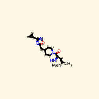 CN/C(C)=C\C(=N)C(=O)N1CCC(Cc2nc(C3CC3)no2)CC1